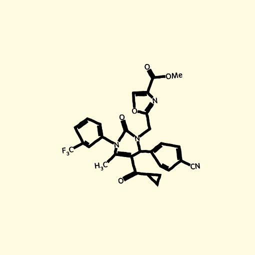 COC(=O)c1coc(CN2C(=O)N(c3cccc(C(F)(F)F)c3)C(C)=C(C(=O)C3CC3)C2c2ccc(C#N)cc2)n1